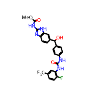 COC(=O)Nc1nc2ccc(C(O)c3ccc(NC(=O)Nc4cc(C(F)(F)F)ccc4F)cc3)cc2[nH]1